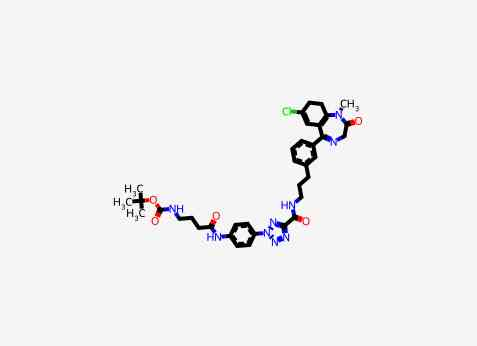 CN1C(=O)CN=C(c2cccc(CCCNC(=O)c3nnn(-c4ccc(NC(=O)CCCNC(=O)OC(C)(C)C)cc4)n3)c2)C2=C1CCC(Cl)=C2